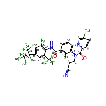 N#CCCN(C(=O)c1ccc(F)cn1)c1cccc(C(=O)Nc2c(Br)cc(C(F)(C(F)(F)F)C(F)(F)F)cc2C(F)(F)F)c1F